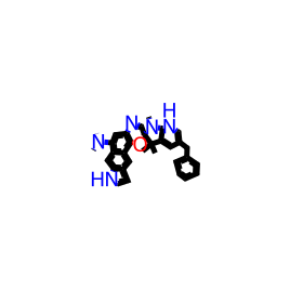 CN(C)c1cc2c(c3cc4cc[nH]c4cc13)OC1(C=N2)N(C)C2NC=C(Cc3ccccc3)C=C2C1(C)C